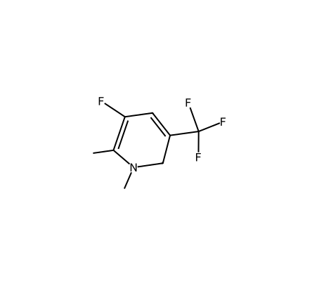 CC1=C(F)C=C(C(F)(F)F)CN1C